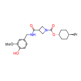 COc1cc(CNC(=O)C2CN(C(=O)O[C@H]3CC[C@H](C(C)C)CC3)C2)ccc1O